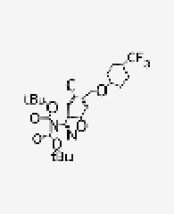 CC(C)(C)OC(=O)N(C(=O)OC(C)(C)C)c1noc2cc(COC3CCC(C(F)(F)F)CC3)c(Cl)cc12